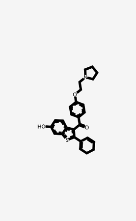 O=C(c1ccc(OCCN2CCCC2)cc1)c1c(C2=CCCC=C2)sc2cc(O)ccc12